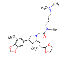 CCCCN(CCCCN(C)C)C(=O)CN1C[C@H](c2cc(OC)c3c(c2)OCO3)[C@@H](C(=O)O)[C@@H]1CCC1OCCO1